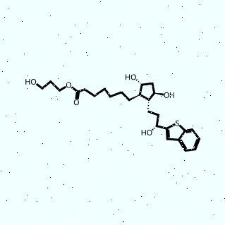 O=C(CCCCCC[C@@H]1[C@@H](CC[C@@H](O)c2cc3ccccc3s2)[C@H](O)C[C@H]1O)OCCCO